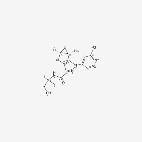 CC(C)(CO)NC(=O)c1nn(-c2ccnc(Cl)c2)c2c1C[C@H]1C[C@@H]21